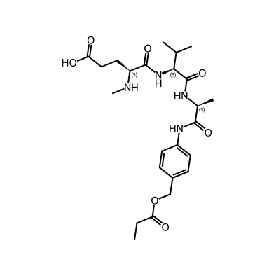 CCC(=O)OCc1ccc(NC(=O)[C@H](C)NC(=O)[C@@H](NC(=O)[C@H](CCC(=O)O)NC)C(C)C)cc1